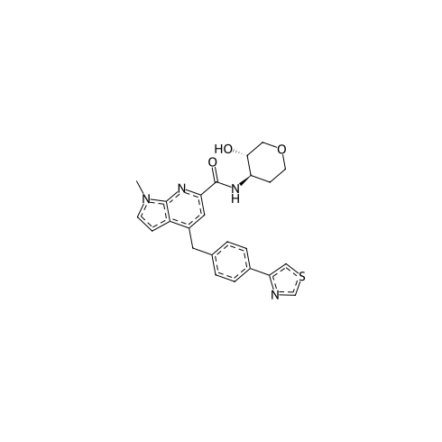 Cn1ccc2c(Cc3ccc(-c4cscn4)cc3)cc(C(=O)N[C@@H]3CCOC[C@H]3O)nc21